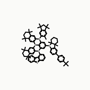 Cc1cc2c(cc1N1c3cc4c(cc3B3c5cc6c(cc5N(c5cccc7sc8ccccc8c57)c5cc(N7c8ccc(-c9ccc(C(C)(C)C)cc9)cc8C8(C)CCCCC78C)cc1c53)C(C)(C)CCC6(C)C)C(C)(C)CCC4(C)C)C(C)(C)CC2(C)C